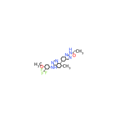 CCC(=O)Nc1ncc2cc(-c3c(C)ccc4c(Nc5ccc(OC)c(C(F)(F)F)c5)ncnc34)ccc2n1